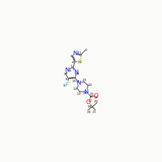 Cc1ncc(-c2ncc(F)c(N3CCN(C(=O)OC(C)(C)C)CC3)n2)s1